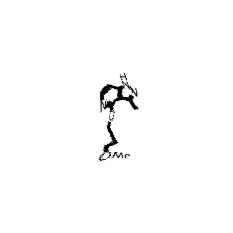 COCCCOc1nccc2[nH]nc(C)c12